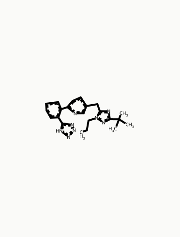 CCCn1nc(C(C)(C)C)nc1Cc1ccc(-c2ccccc2-c2nnn[nH]2)nc1